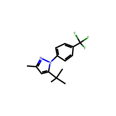 Cc1cc(C(C)(C)C)n(-c2ccc(C(F)(F)F)cc2)n1